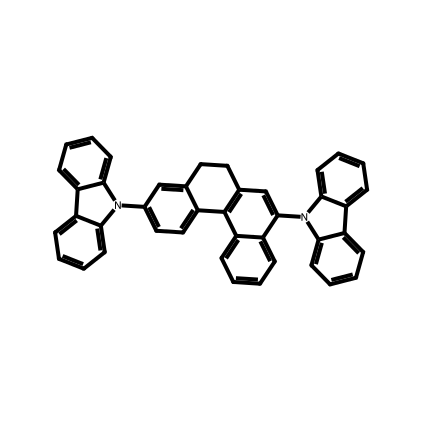 c1ccc2c3c(cc(-n4c5ccccc5c5ccccc54)c2c1)CCc1cc(-n2c4ccccc4c4ccccc42)ccc1-3